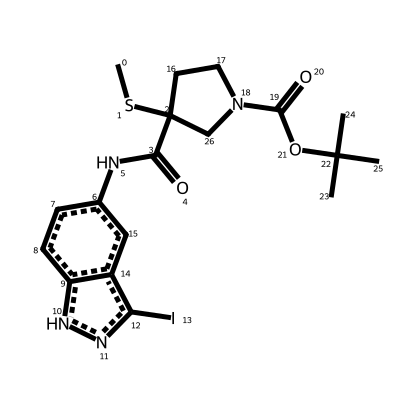 CSC1(C(=O)Nc2ccc3[nH]nc(I)c3c2)CCN(C(=O)OC(C)(C)C)C1